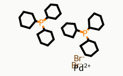 C1CCC(P(C2CCCCC2)C2CCCCC2)CC1.C1CCC(P(C2CCCCC2)C2CCCCC2)CC1.[Br-].[Br-].[Pd+2]